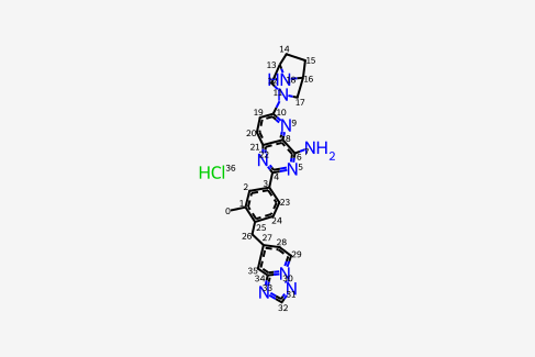 Cc1cc(-c2nc(N)c3nc(N4CC5CCC(C4)N5)ccc3n2)ccc1Cc1ccn2ncnc2c1.Cl